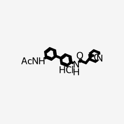 CC(=O)Nc1cccc(-c2ccc(NC(=O)CC3CN4CCC3CC4)cc2)c1.Cl